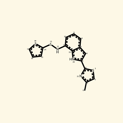 Cc1csc(-c2cc3cccc(NSc4cccs4)c3[nH]2)n1